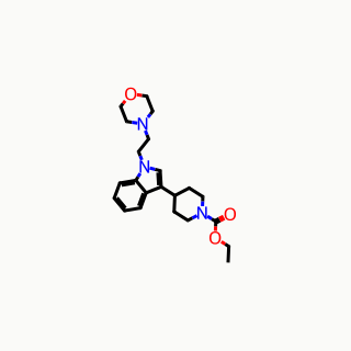 CCOC(=O)N1CCC(c2cn(CCN3CCOCC3)c3ccccc23)CC1